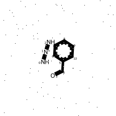 N=[N+]=N.O=Cc1ccccc1